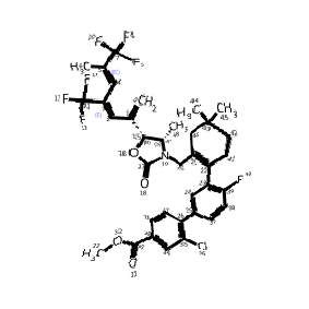 C=C(/C=C(\C=C(/C)C(F)(F)F)C(F)(F)F)[C@H]1OC(=O)N(CC2=C(c3cc(-c4ccc(C(=O)OC)cc4Cl)ccc3F)CCC(C)(C)C2)[C@H]1C